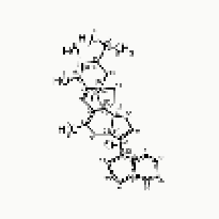 CC1=C2C=C3[C@@H](O)[C@H](O)[C@@H](N(C)C)C[C@]34CC[C@]2(O4)C2CC=C(c3cccc4ncccc34)[C@@]2(C)C1